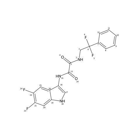 O=C(NCC(F)(F)c1ccccc1)C(=O)Nc1c[nH]c2cc(F)c(F)cc12